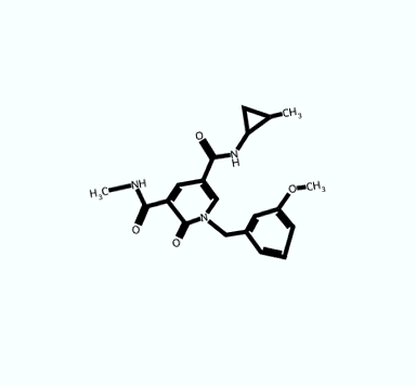 CNC(=O)c1cc(C(=O)NC2CC2C)cn(Cc2cccc(OC)c2)c1=O